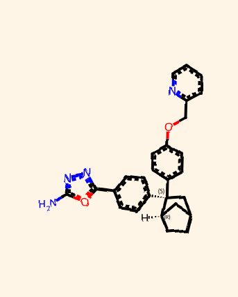 Nc1nnc(-c2ccc([C@]3(c4ccc(OCc5ccccn5)cc4)CC4CC[C@@H]3C4)cc2)o1